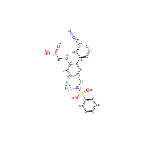 CN(Cc1cc(-c2cccc(C#N)c2)c(OCC(=O)O)cc1F)S(=O)(=O)c1ccccc1